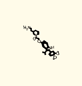 COc1ccc(-c2[nH]c3ccc(OCC(=O)N4CCCC(CCN)C4)cc3c2C(C)C)cc1OC